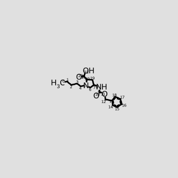 CCCCCN1CC(NC(=O)OCc2ccccc2)CC1C(=O)O